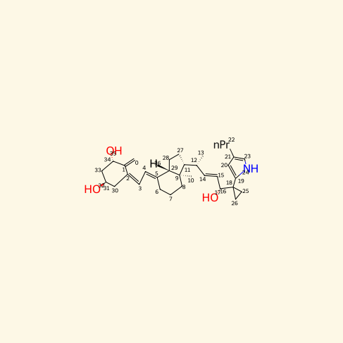 C=C1/C(=C\C=C2/CCC[C@]3(C)[C@@H]([C@H](C)/C=C/[C@@H](O)C4(c5cc(CCC)c[nH]5)CC4)CC[C@@H]23)C[C@@H](O)C[C@@H]1O